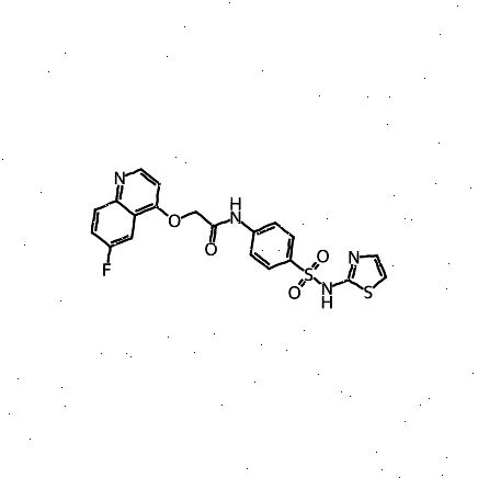 O=C(COc1ccnc2ccc(F)cc12)Nc1ccc(S(=O)(=O)Nc2nccs2)cc1